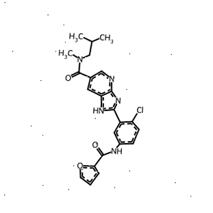 CC(C)CN(C)C(=O)c1cnc2nc(-c3cc(NC(=O)c4ccco4)ccc3Cl)[nH]c2c1